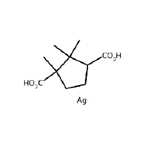 CC1(C(=O)O)CCC(C(=O)O)C1(C)C.[Ag]